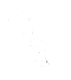 CC(=O)[C@]12CC[C@H]3[C@@H](CC[C@H]4C[C@H](O[Si](C)(C)C(C)(C)C)CC[C@@]43C)[C@@H]1CC[C@@H]2[C@@H](C)O